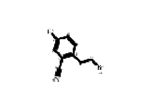 N#Cc1cc(F)ccc1CCBr